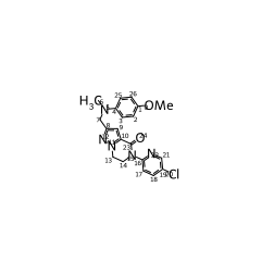 COc1ccc(N(C)Cc2cc3n(n2)CCN(c2ccc(Cl)cn2)C3=O)cc1